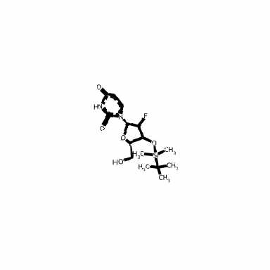 CC(C)(C)[Si](C)(C)OC1C(F)[C@H](n2ccc(=O)[nH]c2=O)O[C@@H]1CO